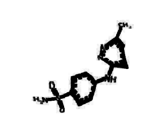 Cc1ccc(Nc2ccc(S(N)(=O)=O)cc2)nn1